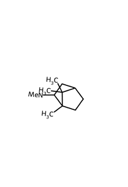 CNC1CC2CCC1(C)C2(C)C